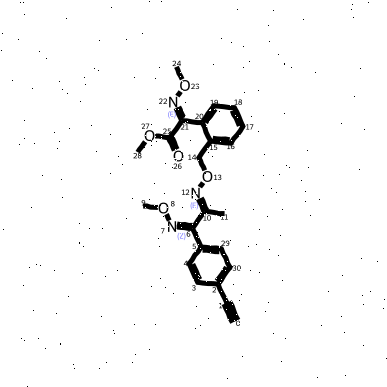 C#Cc1ccc(C(=N/OC)/C(C)=N/OCc2ccccc2/C(=N\OC)C(=O)OC)cc1